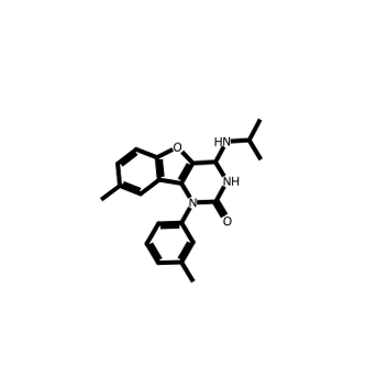 Cc1cccc(N2C(=O)NC(NC(C)C)c3oc4ccc(C)cc4c32)c1